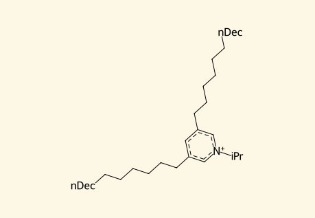 CCCCCCCCCCCCCCCCc1cc(CCCCCCCCCCCCCCCC)c[n+](C(C)C)c1